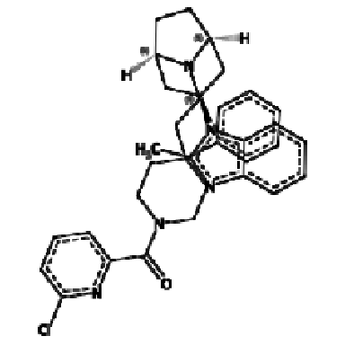 Cc1nc2ccccc2n1[C@H]1C[C@H]2CC[C@@H](C1)N2CCC1(c2ccccc2)CCN(C(=O)c2cccc(Cl)n2)CC1